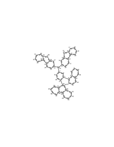 c1ccc2c(-c3cc(N(c4ccc5c(c4)oc4ccccc45)c4ccc5c(c4)sc4ccccc45)ccc3-c3cc4ccccc4c4ccccc34)cccc2c1